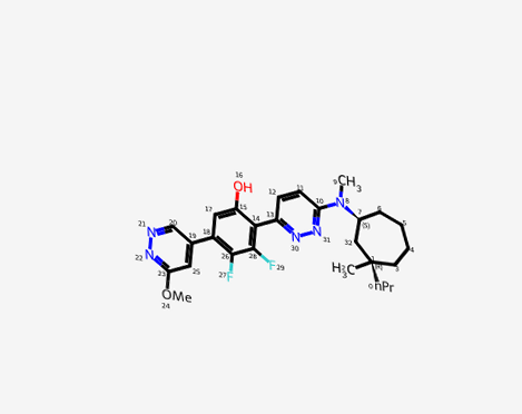 CCC[C@]1(C)CCCC[C@H](N(C)c2ccc(-c3c(O)cc(-c4cnnc(OC)c4)c(F)c3F)nn2)C1